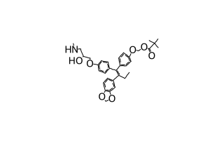 CC/C(=C(\c1ccc(OCOC(=O)C(C)(C)C)cc1)c1ccc(OCC(O)CNC)cc1)c1ccc2c(c1)OCO2